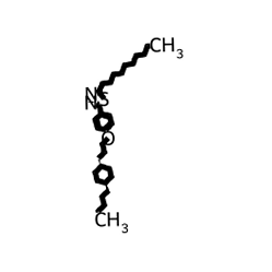 CCCCCCCCCCc1nnc(-c2ccc(OCCC[C@H]3CC[C@H](CCCCC)CC3)cc2)s1